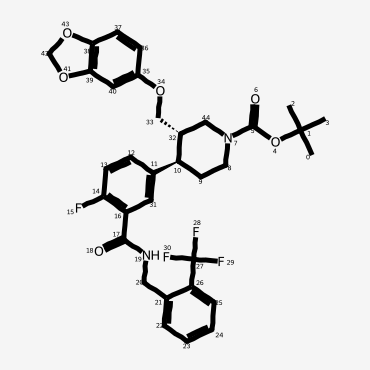 CC(C)(C)OC(=O)N1CC[C@@H](c2ccc(F)c(C(=O)NCc3ccccc3C(F)(F)F)c2)[C@H](COc2ccc3c(c2)OCO3)C1